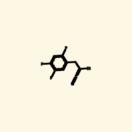 CCC(=C=O)Cc1cc(F)c(F)cc1F